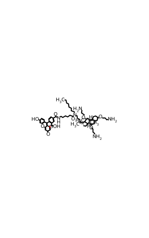 CCCCCCCCN(CCC[C@@H](C)[C@H]1CC[C@H]2C3[C@H](OCCCN)CC4C[C@H](OCCCN)CC[C@]4(C)[C@H]3C[C@H](OCCCN)C12C)C(=O)CCCCCNC(=O)c1ccc(-c2c3ccc(=O)cc-3oc3cc(O)ccc23)c(C(=O)O)c1